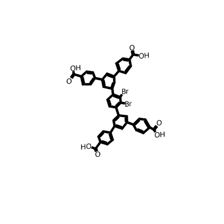 O=C(O)c1ccc(-c2cc(-c3ccc(C(=O)O)cc3)cc(-c3ccc(-c4cc(-c5ccc(C(=O)O)cc5)cc(-c5ccc(C(=O)O)cc5)c4)c(Br)c3Br)c2)cc1